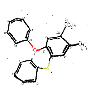 Cc1cc(Sc2ccccc2)c(Oc2ccccc2)cc1C(=O)O